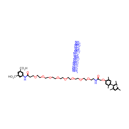 Cc1cc(C)c(-c2cc(C)c(OCC(=O)NCCOCCOCCOCCOCCOCCOCCOCCOCCC(=O)Nc3cc(C(=O)O)cc(C(=O)O)c3)cc2C)c(C)c1.N.N.N.N.N.N.N.N.N.N.N.N.N.N.N.N